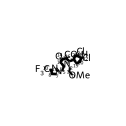 COCCn1c(Cn2ccc(C(F)(F)F)n2)cc(=O)c(C(=O)O)c1-c1ccc(Cl)c(Cl)c1